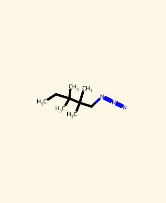 CCC(C)(C)C(C)(C)CN=[N+]=[N-]